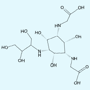 O=C(O)CN[C@@H]1[C@H](O)[C@H](NCC(=O)O)[C@H](O)[C@H](NC(CO)C(O)CO)[C@@H]1O